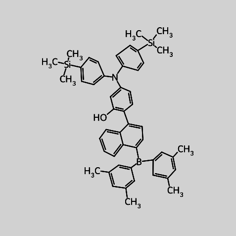 Cc1cc(C)cc(B(c2cc(C)cc(C)c2)c2ccc(-c3ccc(N(c4ccc([Si](C)(C)C)cc4)c4ccc([Si](C)(C)C)cc4)cc3O)c3ccccc23)c1